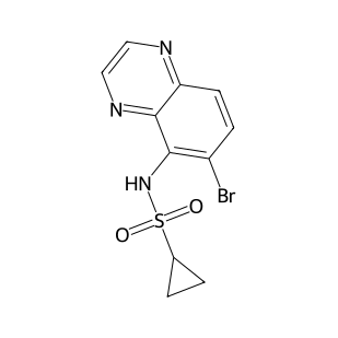 O=S(=O)(Nc1c(Br)ccc2nccnc12)C1CC1